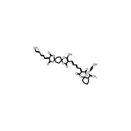 C=C(OC#CO)C1CCCCC12OC(=O)C(=C/C=C/C=C/C1=C(O)OC3(CCC4(CC3)OC(=O)C(=C/C=C/C=C/C)C(=O)O4)OC1=O)C(=O)O2